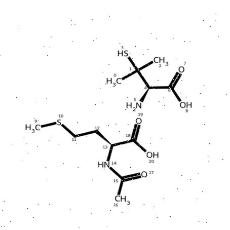 CC(C)(S)[C@H](N)C(=O)O.CSCC[C@H](NC(C)=O)C(=O)O